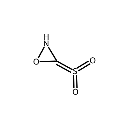 O=S(=O)=C1NO1